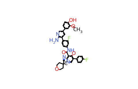 COc1cc(-c2cnc(N)c(-c3ccc(NC(=O)c4cn(CC5(C#N)CCOCC5)cc(-c5ccc(F)cc5)c4=O)cc3F)c2)ccc1O